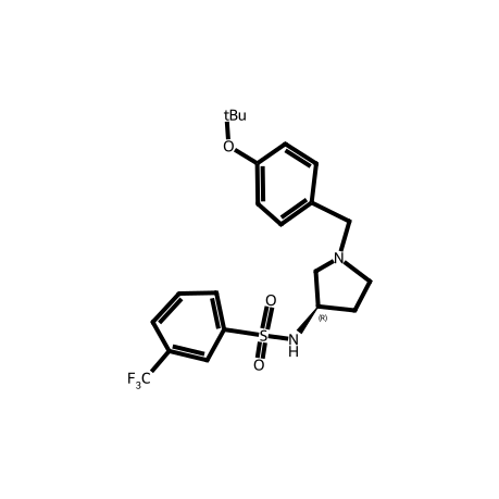 CC(C)(C)Oc1ccc(CN2CC[C@@H](NS(=O)(=O)c3cccc(C(F)(F)F)c3)C2)cc1